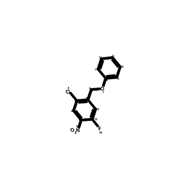 O=[N+]([O-])c1cc(Cl)c(COc2ccccc2)cc1F